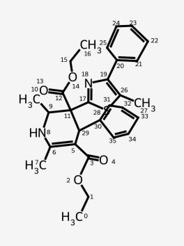 CCOC(=O)C1=C(C)NC(C)C(C(=O)OCC)(c2nc(-c3ccccc3)c(C)s2)C1c1ccccc1